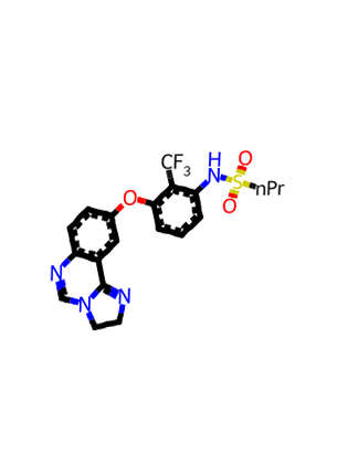 CCCS(=O)(=O)Nc1cccc(Oc2ccc3c(c2)C2=NCCN2C=N3)c1C(F)(F)F